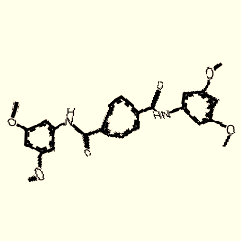 COc1cc(NC(=O)c2ccc(C(=O)Nc3cc(OC)cc(OC)c3)cc2)cc(OC)c1